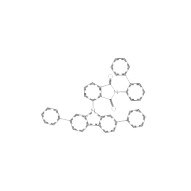 O=C1c2cccc(-n3c4cc(-c5ccccc5)ccc4c4ccc(-c5ccccc5)cc43)c2C(=O)N1c1ccccc1-c1ccccc1